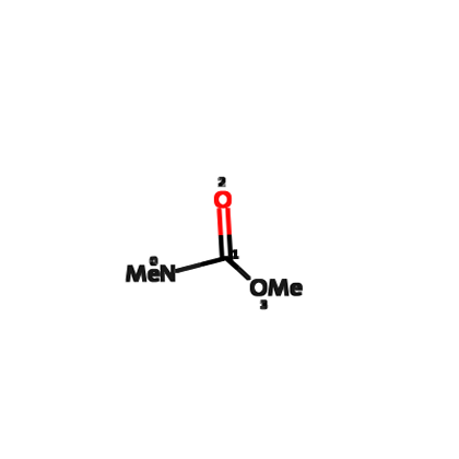 CNC(=O)OC